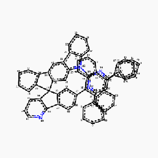 c1ccc(-c2cc(-c3ccccc3)nc(-n3c4ccccc4c4cc5c(cc43)C3(c4ccccc4-5)c4cc(-c5c6ccccc6c(-c6ccccc6)c6ccccc56)ccc4-c4ncccc43)n2)cc1